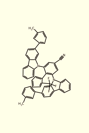 Cc1cccc(-c2ccc3c4ccccc4n(-c4cc(C#N)cc(-n5c6ccccc6c6ccc(-c7cccc(C)c7)cc65)c4-c4ccccc4C(F)(F)F)c3c2)c1